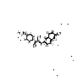 N[C@H]1CC[C@H](C(=O)NCc2ccc3cc(Cl)ccc3n2)CC1